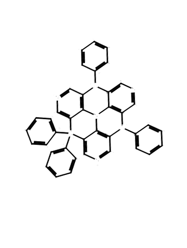 c1ccc(B2c3cncc4c3N3c5c2cncc5S(c2ccccc2)(c2ccccc2)c2cncc(c23)B4c2ccccc2)cc1